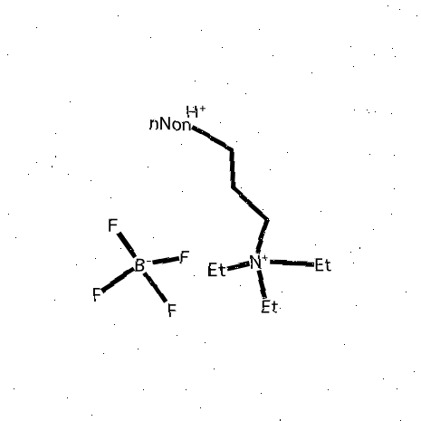 CCCCCCCCCCCC[N+](CC)(CC)CC.F[B-](F)(F)F.[H+]